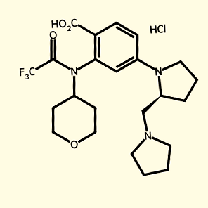 Cl.O=C(O)c1ccc(N2CCC[C@H]2CN2CCCC2)cc1N(C(=O)C(F)(F)F)C1CCOCC1